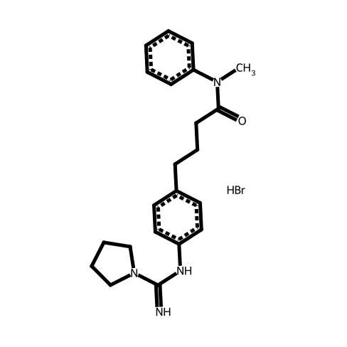 Br.CN(C(=O)CCCc1ccc(NC(=N)N2CCCC2)cc1)c1ccccc1